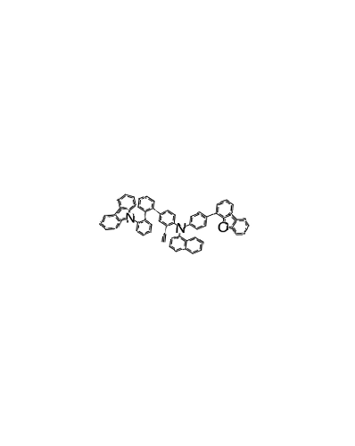 C#Cc1cc(-c2ccccc2-c2ccccc2-n2c3ccccc3c3ccccc32)ccc1N(c1ccc(-c2cccc3c2oc2ccccc23)cc1)c1cccc2ccccc12